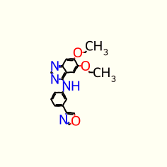 CCOc1cc2ncnc(Nc3cccc(-c4cocn4)c3)c2cc1OCC